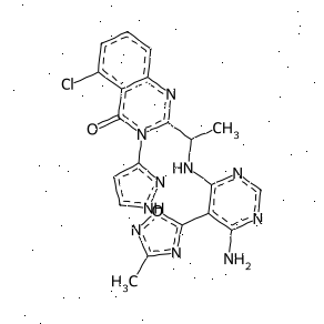 Cc1noc(-c2c(N)ncnc2NC(C)c2nc3cccc(Cl)c3c(=O)n2-c2cc[nH]n2)n1